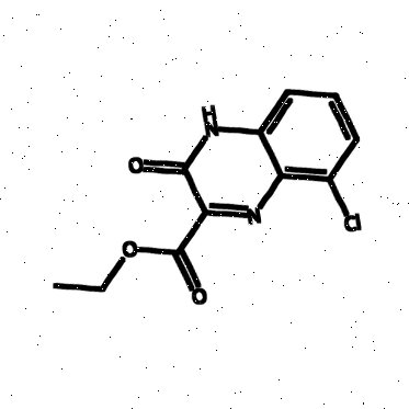 CCOC(=O)c1nc2c(Cl)cccc2[nH]c1=O